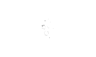 Cc1nc(C)c(C(OC(C)(C)C)C(=O)O)c(N2CCC(C)(C)CC2)c1-c1ccc(O)cc1